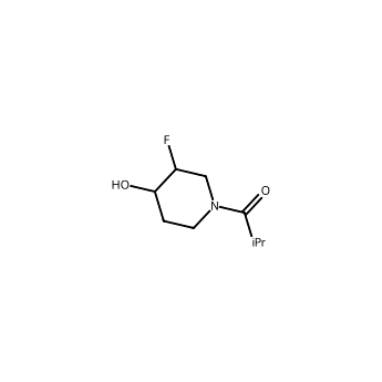 CC(C)C(=O)N1CCC(O)C(F)C1